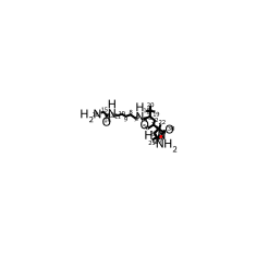 CC(CC(C(=O)NCCCCCNC(=O)CN)C(C)(C)C)C(C)(CC(C)(C)N)C(N)=O